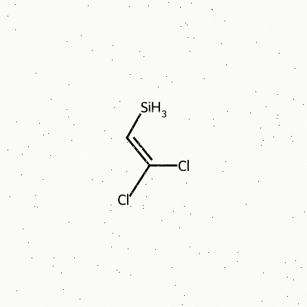 [SiH3]C=C(Cl)Cl